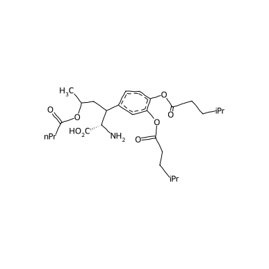 CCCC(=O)OC(C)CC(c1ccc(OC(=O)CCC(C)C)c(OC(=O)CCC(C)C)c1)[C@H](N)C(=O)O